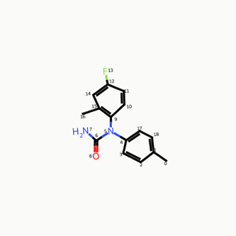 Cc1ccc(N(C(N)=O)c2ccc(F)cc2C)cc1